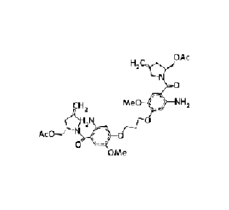 C=C1C[C@@H](COC(C)=O)N(C(=O)c2cc(OC)c(OCCCOc3cc(N)c(C(=O)N4CC(=C)C[C@H]4COC(C)=O)cc3OC)cc2N)C1